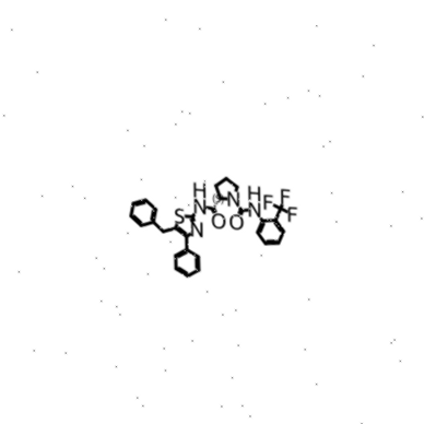 O=C(Nc1nc(-c2ccccc2)c(Cc2ccccc2)s1)[C@@H]1CCCN1C(=O)Nc1ccccc1C(F)(F)F